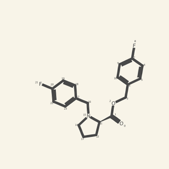 O=C(OCc1ccc(F)cc1)[C@H]1CCCN1Cc1ccc(F)cc1